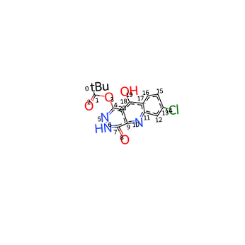 CC(C)(C)C(=O)Oc1n[nH]c(=O)c2nc3cc(Cl)ccc3c(O)c12